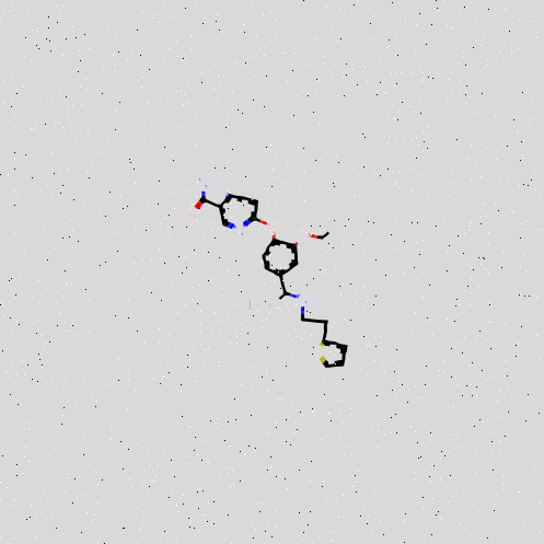 CCOc1cc(C(C)NCCc2cccs2)ccc1Oc1ccc(C(N)=O)cn1